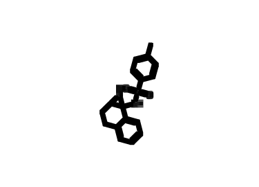 Cc1ccc(S(=O)(=O)NC23NC2CCc2ccccc23)cc1